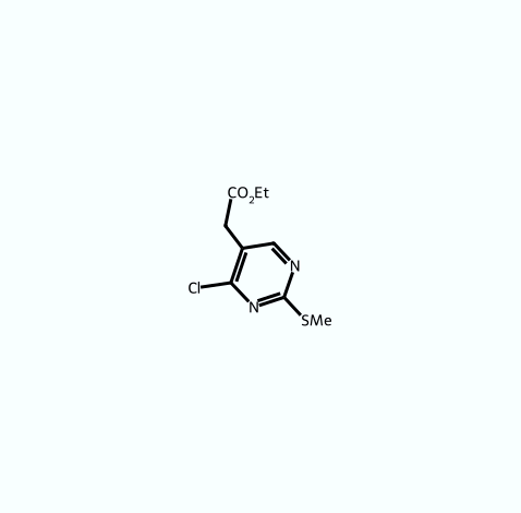 CCOC(=O)Cc1cnc(SC)nc1Cl